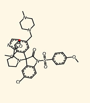 COc1ccc(S(=O)(=O)N2C(=O)C(c3cc(CN4CCN(C)CC4)ccc3OC)(N3CCCC3c3ncco3)c3cc(Cl)ccc32)cc1